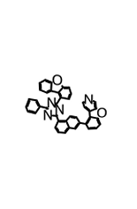 c1ccc(-c2nc(-c3cccc4cc(-c5cccc6oc7cnccc7c56)ccc34)nc(-c3cccc4oc5ccccc5c34)n2)cc1